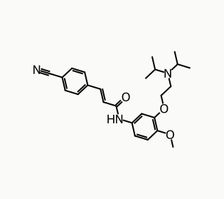 COc1ccc(NC(=O)C=Cc2ccc(C#N)cc2)cc1OCCN(C(C)C)C(C)C